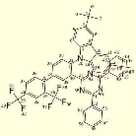 CC(C)(C)c1ccc2c(c1)c1cc(C(C)(C)C)ccc1n2-c1ccc(-c2ccc(C(F)(F)F)cc2C(F)(F)F)cc1-c1nc(-c2ccccc2)nc(-c2ccccc2)n1